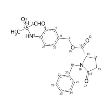 C[SH](=O)(C=O)Nc1ccc(COC(=O)[C@@H]2CCC(=O)N2Cc2ccccc2)cc1